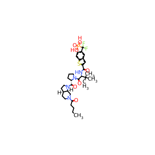 CCCCC(=O)N1CC[C@H]2CCN(C(=O)[C@@H]3CCCN3C(=O)[C@@H](NC(=O)c3cc4cc(C(F)(F)P(=O)(O)O)ccc4s3)C(C)(C)C)[C@H]2C1